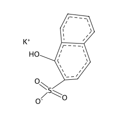 O=S(=O)([O-])c1ccc2ccccc2c1O.[K+]